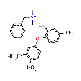 C[N+](C)(C)Cc1ccccc1.O=C(O)c1cc(Oc2ccc(C(F)(F)F)cc2Cl)ccc1[N+](=O)[O-]